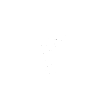 O=C(C1CCCCN1C(=O)CC1=Cc2ccccc2C1)N1CCSC1